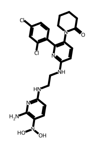 Nc1nc(NCCNc2ccc(N3CCCCC3=O)c(-c3ccc(Cl)cc3Cl)n2)ccc1N(O)O